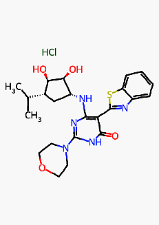 CC(C)[C@H]1C[C@@H](Nc2nc(N3CCOCC3)[nH]c(=O)c2-c2nc3ccccc3s2)[C@H](O)[C@@H]1O.Cl